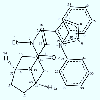 CCN(Cc1ccsc1)C(=O)N1[C@@H]2CC[C@H]1CN(C(=O)N(c1ccccc1)c1ccccc1)C2